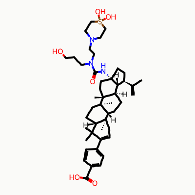 C=C(C)[C@@H]1CC[C@]2(NC(=O)N(CCCO)CCN3CCS(O)(O)CC3)CC[C@]3(C)[C@H](CC[C@@H]4[C@@]5(C)CC=C(c6ccc(C(=O)O)cc6)C(C)(C)[C@@H]5CC[C@]43C)[C@@H]12